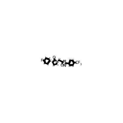 O=C1[C@@H](c2ccc(F)cc2)CCN1Cc1nc(-c2ccc(C(F)(F)F)cc2)no1